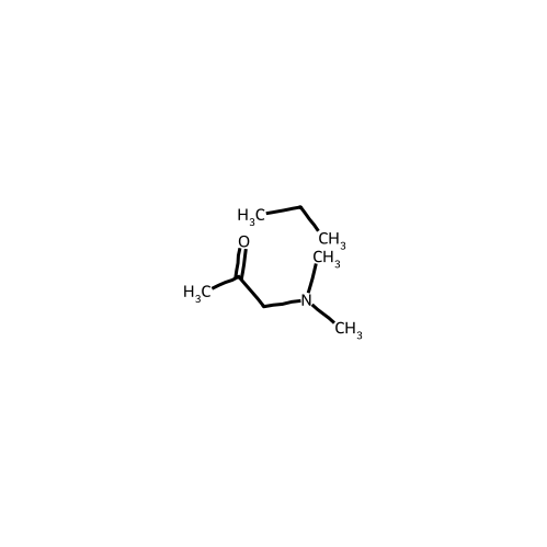 CC(=O)CN(C)C.CCC